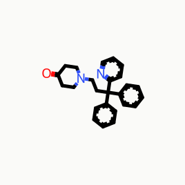 O=C1CCN(CCC(c2ccccc2)(c2ccccc2)c2ccccn2)CC1